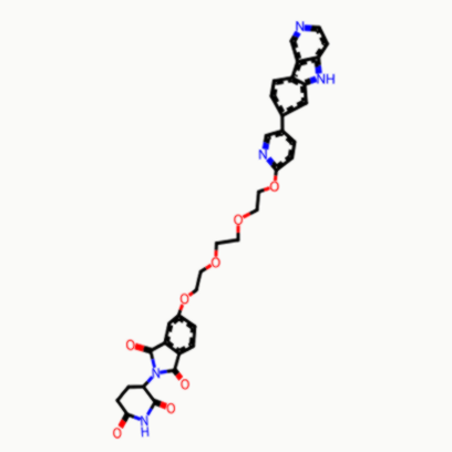 O=C1CCC(N2C(=O)c3ccc(OCCOCCOCCOc4ccc(-c5ccc6c(c5)[nH]c5ccncc56)cn4)cc3C2=O)C(=O)N1